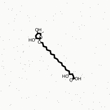 C[C@@H]1O[C@@H](OCCCCCCCCCCCCCCC[C@@H](O)CC(=O)O)[C@H](O)C[C@H]1O